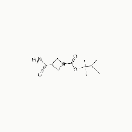 CC(C)C(C)(C)OC(=O)N1CC(C(N)=O)C1